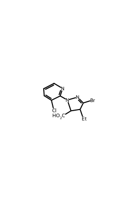 CCC1C(Br)=NN(c2ncccc2Cl)C1C(=O)O